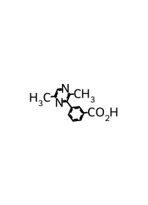 Cc1cnc(C)c(-c2cccc(C(=O)O)c2)n1